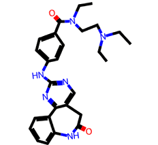 CCN(CC)CCN(CC)C(=O)c1ccc(Nc2ncc3c(n2)-c2ccccc2NC(=O)C3)cc1